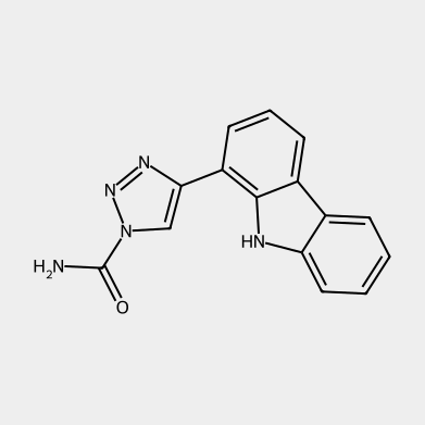 NC(=O)n1cc(-c2cccc3c2[nH]c2ccccc23)nn1